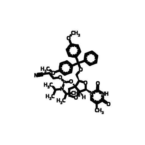 COc1ccc(C(OC[C@H]2O[C@@H](n3cc(C)c(=O)[nH]c3=O)[C@H]3OCC[C@]32OP(OCCC#N)N(C(C)C)C(C)C)(c2ccccc2)c2ccc(OC)cc2)cc1